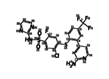 Nc1cc(-c2cc(C(F)(F)F)ccc2Sc2cc(F)c(S(=O)(=O)Nc3ncccn3)cc2Cl)ccn1